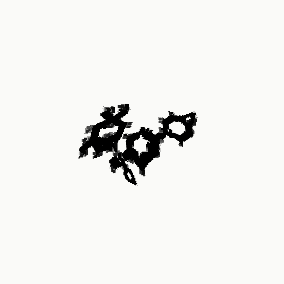 C=S(=O)(c1ccc(N2CCOCC2)nc1)N1CC2(C)CC1CC(C)(C)C2